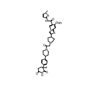 CC(C)Oc1cc2nc(C3CCN(CC(=O)N4CCC(c5ccc(C6(F)CCC(=O)NC6=O)cc5)CC4)CC3)cn2cc1C(=O)Nc1ccn(C)n1